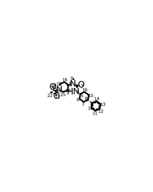 CN(C(=O)N[C@H]1CC[C@@H](c2ccccc2)CC1)C1CCN(S(C)(=O)=O)CC1